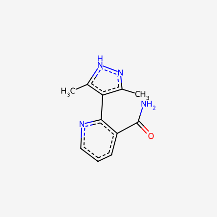 Cc1n[nH]c(C)c1-c1ncccc1C(N)=O